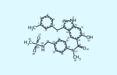 Cc1cccc(Cc2n[nH]c3cc(O)c(C(=O)N(C)c4ccc(CNS(C)(=O)=O)cc4)cc23)c1